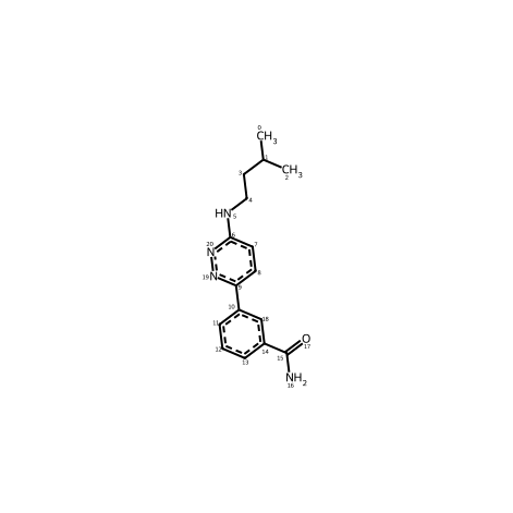 CC(C)CCNc1ccc(-c2cccc(C(N)=O)c2)nn1